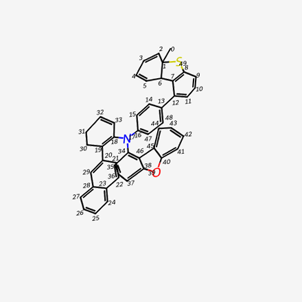 CC12C=CC=CC1c1c(cccc1-c1ccc(N(C3=C(c4ccc5ccccc5c4)CCC=C3)c3cccc4oc5ccccc5c34)cc1)S2